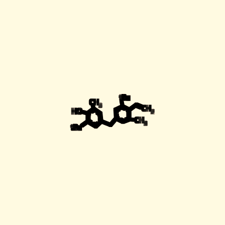 C=Cc1c(C)cc(Cc2cc(C)c(O)c(C(C)(C)C)c2)cc1C(C)(C)C